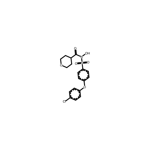 O=C(C1CCOCC1)N(O)S(=O)(=O)c1ccc(Oc2ccc(Cl)cc2)cc1